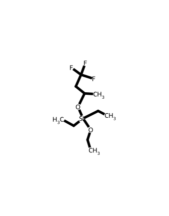 CCO[Si](CC)(CC)OC(C)CC(F)(F)F